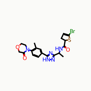 Cc1cc(-c2nc(C(C)NC(=O)C3CC=C(Br)S3)n[nH]2)ccc1N1CCOCC1=O